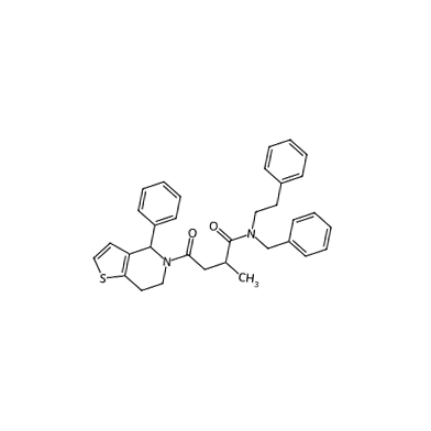 CC(CC(=O)N1CCc2sccc2C1c1ccccc1)C(=O)N(CCc1ccccc1)Cc1ccccc1